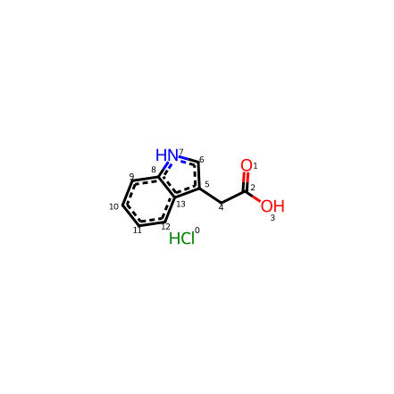 Cl.O=C(O)Cc1c[nH]c2ccccc12